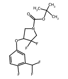 CC(C)(C)OC(=O)N1CC(Oc2ccc(F)c(C(F)F)c2)C(F)(F)C1